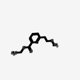 CCOC(=O)c1cccc(CCOC)n1